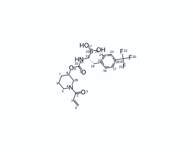 C=CC(=O)N1CCCC(OC(=O)N[C@@H](Cc2ccc(C(F)(F)F)cc2)B(O)O)C1